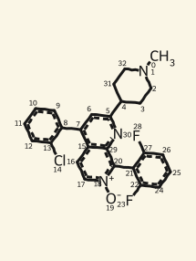 CN1CCC(c2cc(-c3ccccc3Cl)c3cc[n+]([O-])c(-c4c(F)cccc4F)c3n2)CC1